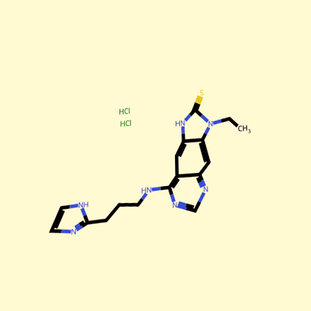 CCn1c(=S)[nH]c2cc3c(NCCCc4ncc[nH]4)ncnc3cc21.Cl.Cl